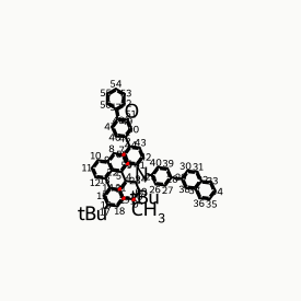 CC1CC=C(c2cccc3cccc(-c4cc(C(C)(C)C)cc(C(C)(C)C)c4)c23)C(N(c2ccc(-c3ccc4ccccc4c3)cc2)c2ccc(-c3ccc4c(c3)oc3ccccc34)cc2)C1